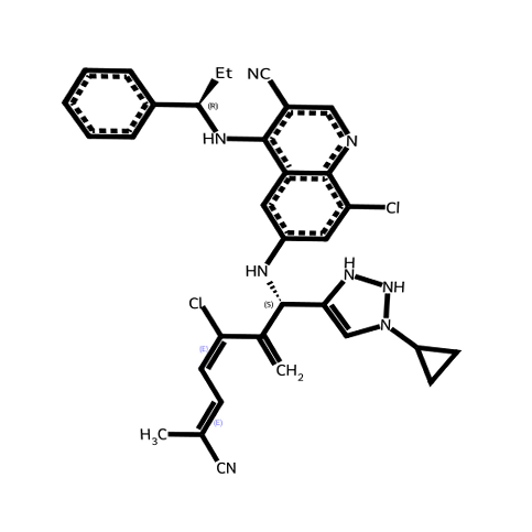 C=C(/C(Cl)=C\C=C(/C)C#N)[C@H](Nc1cc(Cl)c2ncc(C#N)c(N[C@H](CC)c3ccccc3)c2c1)C1=CN(C2CC2)NN1